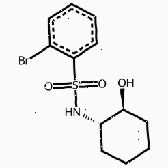 O=S(=O)(N[C@H]1CCCC[C@@H]1O)c1ccccc1Br